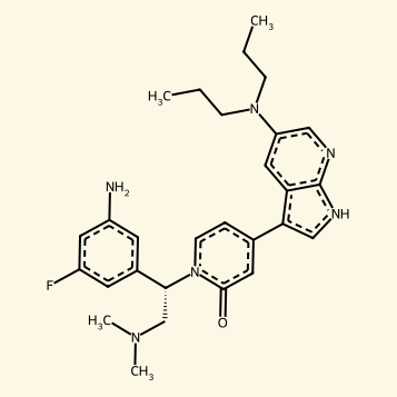 CCCN(CCC)c1cnc2[nH]cc(-c3ccn([C@H](CN(C)C)c4cc(N)cc(F)c4)c(=O)c3)c2c1